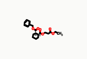 CCOC(=O)CCOC(=O)[C@@H]1CCCC[C@@H]1C(=O)OCc1ccccc1